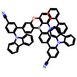 N#Cc1ccc(-n2c3ccccc3c3ccccc32)c(-c2ccc3c(c2)Oc2cccc4c2B3c2ccc(-c3cc(C#N)ccc3-n3c5ccccc5c5ccccc53)cc2N4c2ccccc2-c2ccccc2)c1